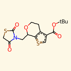 CC(C)(C)OC(=O)c1csc2c1CCOC2CN1C(=O)CSC1=O